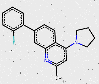 Cc1cc(N2CCCC2)c2ccc(-c3ccccc3F)cc2n1